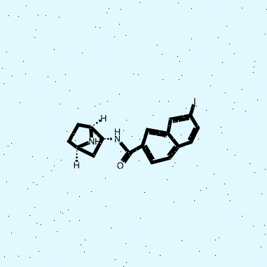 O=C(N[C@@H]1C[C@H]2CC[C@@H]1N2)c1ccc2ccc(I)cc2c1